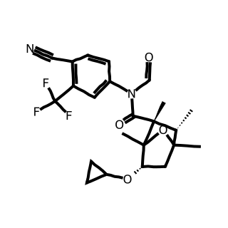 C[C@@H]1C2(C)C[C@H](OC3CC3)C(C)(O2)[C@]1(C)C(=O)N(C=O)c1ccc(C#N)c(C(F)(F)F)c1